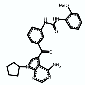 COc1ccccc1NC(=O)Nc1cccc(C(=O)c2cn(C3CCCC3)c3ncnc(N)c23)c1